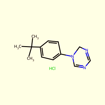 CC(C)(C)c1ccc(N2C=NC=NC2)cc1.Cl